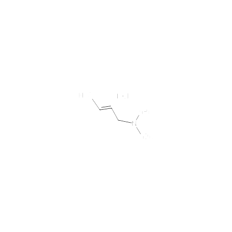 CC=CCN(CCCC)CCCC.Cl